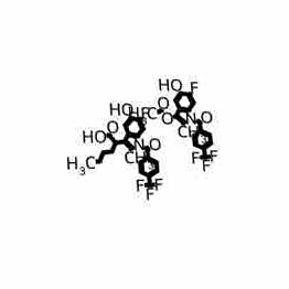 CC(=O)Oc1c(C)n(C(=O)c2ccc(C(F)(F)F)cc2)c2cc(F)c(O)cc12.CCCCC(C(=O)O)c1c(C)n(C(=O)c2ccc(C(F)(F)F)cc2)c2cc(F)c(O)cc12